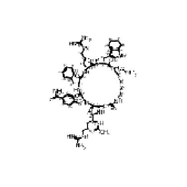 CC(=O)N[C@@H](CCCNC(=N)N)C(=O)N[C@H]1CC(=O)NCCCC[C@@H](CN)NC(=O)[C@H](Cc2c[nH]c3ccccc23)NC(=O)[C@H](CCCNC(=N)N)NC(=O)[C@@H](Cc2ccccc2)NC(=O)[C@H](Cc2ccc(C(N)=O)cc2)NC1=O